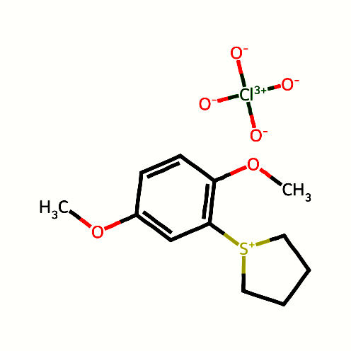 COc1ccc(OC)c([S+]2CCCC2)c1.[O-][Cl+3]([O-])([O-])[O-]